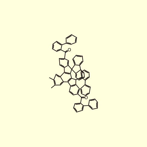 Cc1cc2c3c(c4c(c2cc1C)-c1ccc(C(=O)c2ccccc2-c2ccccc2)cc1C41c2ccccc2-c2ccccc21)C(c1ccccc1-c1ccccc1)c1cc(C(=O)c2ccccc2-c2ccccc2)ccc1-3